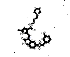 Cc1cc(C(=O)NCCCN2CCCC2)c(/C=C2\C(=O)Nc3ccc(S(=O)(=O)Cc4cccc(Cl)c4)cc32)[nH]1